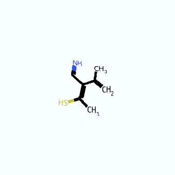 C=C(C)/C(C=N)=C(\C)S